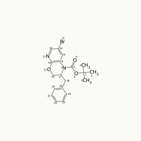 CC(C)(C)OC(=O)N1c2cc(Br)cnc2OCC1Cc1ccccc1